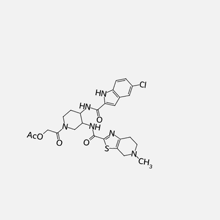 CC(=O)OCC(=O)N1CCC(NC(=O)c2cc3cc(Cl)ccc3[nH]2)C(NC(=O)c2nc3c(s2)CN(C)CC3)C1